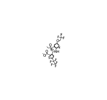 CCS(=O)(=O)c1cc(OCC(F)(F)F)cnc1NCc1cc(C(F)(F)C(F)(F)F)sc1C(=O)OC